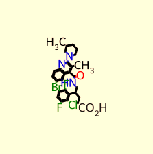 Cc1c(N2CCCC(C)C2)nc2ccc(Br)cc2c1C(=O)NCC(CCC(=O)O)c1c(F)ccc(F)c1Cl